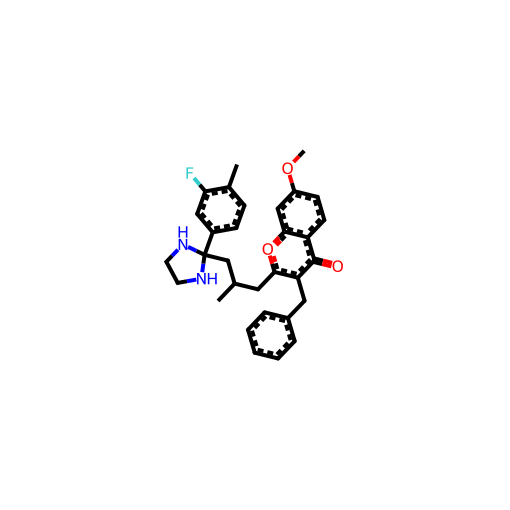 COc1ccc2c(=O)c(Cc3ccccc3)c(CC(C)CC3(c4ccc(C)c(F)c4)NCCN3)oc2c1